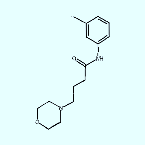 [CH2]c1cccc(NC(=O)CCCN2CCOCC2)c1